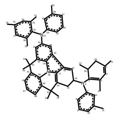 CC1=CC(C)=C(N(c2cccc(C)c2)C2C=c3c4n5c6c(cc(N(c7cccc(C)c7)c7c(C)cc(C)cc7C)cc36)C(C)(C)c3cccc(c3-5)C(C)(C)C=4C2)C(C)C1